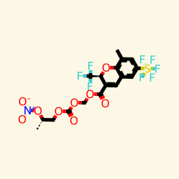 Cc1cc(S(F)(F)(F)(F)F)cc2c1O[C@H](C(F)(F)F)C(C(=O)OCOC(=O)OC[C@H](C)O[N+](=O)[O-])=C2